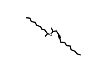 CCCCCCCCC#CCC(C)OC(C)CCCCCCCC